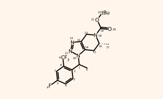 CC(c1ccc(F)cc1C(F)(F)F)n1nnc2c1C[C@@H](C)N(C(=O)OC(C)(C)C)C2